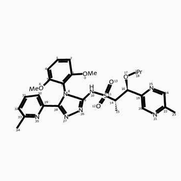 COc1cccc(OC)c1-n1c(NS(=O)(=O)[C@@H](C)[C@@H](OC(C)C)c2cnc(C)cn2)nnc1-c1cccc(C)n1